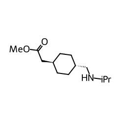 COC(=O)C[C@H]1CC[C@H](CNC(C)C)CC1